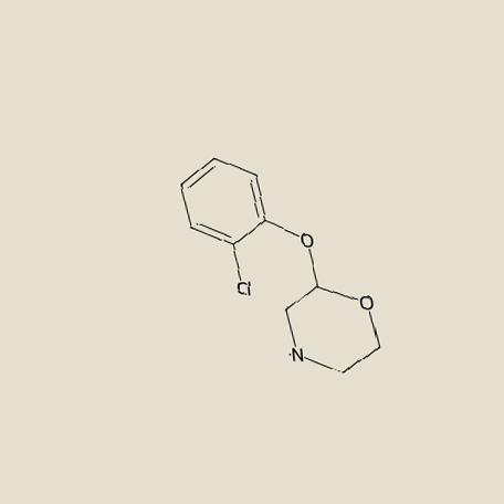 Clc1ccccc1OC1C[N]CCO1